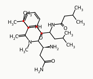 C=C(C(NC(=O)C(CC(C)C)NC(=O)CC(C)C)C(C)C)N(C)C(Cc1ccccc1)[C@@H](N)CC(N)=O